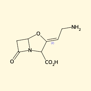 NC/C=C1\OC2CC(=O)N2C1C(=O)O